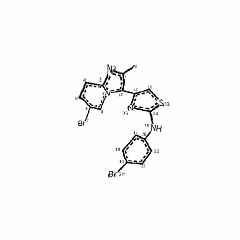 Cc1nc2ccc(Br)cn2c1-c1csc(Nc2ccc(Br)cc2)n1